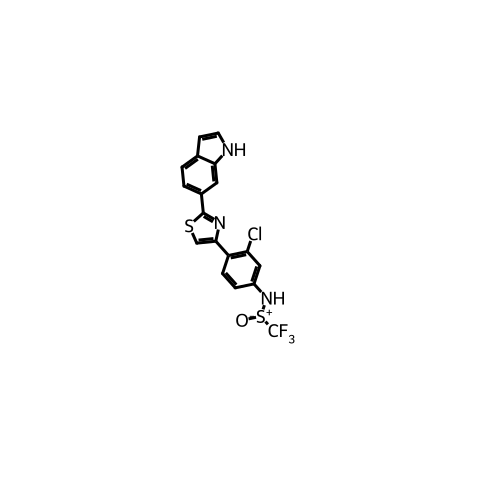 [O-][S+](Nc1ccc(-c2csc(-c3ccc4cc[nH]c4c3)n2)c(Cl)c1)C(F)(F)F